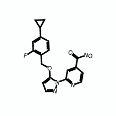 O=NC(=O)c1ccnc(-n2nccc2OCc2ccc(C3CC3)cc2F)c1